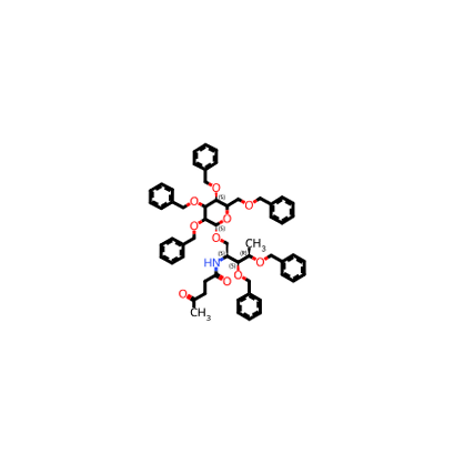 CC(=O)CCC(=O)N[C@@H](CO[C@H]1OC(COCc2ccccc2)[C@H](OCc2ccccc2)C(OCc2ccccc2)C1OCc1ccccc1)[C@H](OCc1ccccc1)[C@@H](C)OCc1ccccc1